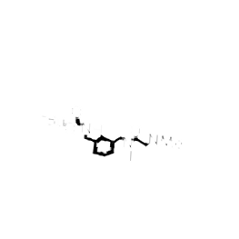 CNCC(=O)NCc1cccc(CNC(=O)OC(C)(C)C)c1